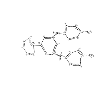 Cc1ccc(Nc2cc(Nc3ccc(C)cc3)cc(-c3ccccc3)c2)cc1